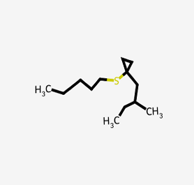 CCCCCSC1(CC(C)CC)CC1